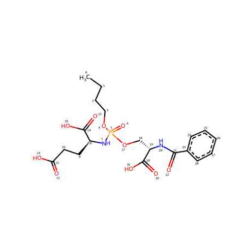 CCCCOP(=O)(N[C@@H](CCC(=O)O)C(=O)O)OC[C@H](NC(=O)c1ccccc1)C(=O)O